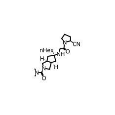 CCCCCC[C@]1(NCC(=O)N2CCC[C@H]2C#N)C[C@H]2CN(C(=O)N(C)C)C[C@H]2C1